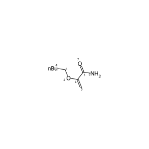 C=C(OCCCCC)C(N)=O